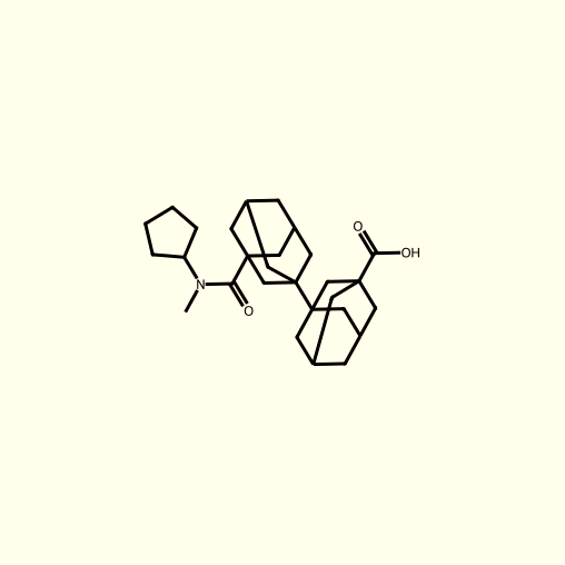 CN(C(=O)C12CC3CC(C1)CC(C14CC5CC(CC(C(=O)O)(C5)C1)C4)(C3)C2)C1CCCC1